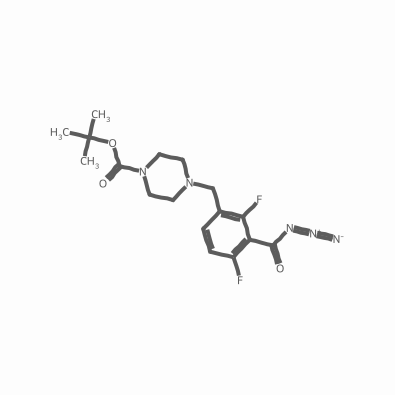 CC(C)(C)OC(=O)N1CCN(Cc2ccc(F)c(C(=O)N=[N+]=[N-])c2F)CC1